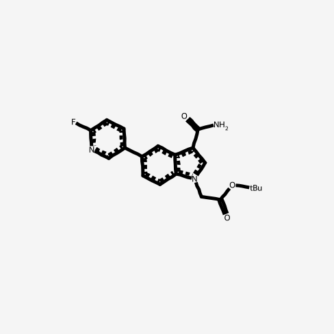 CC(C)(C)OC(=O)Cn1cc(C(N)=O)c2cc(-c3ccc(F)nc3)ccc21